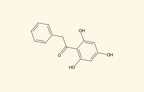 O=C(Cc1ccccc1)c1c(O)cc(O)cc1O